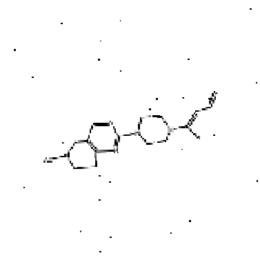 C=C/C=C(\C)N1CCN(c2ncc3c(n2)CCN(C(C)=O)C3)CC1